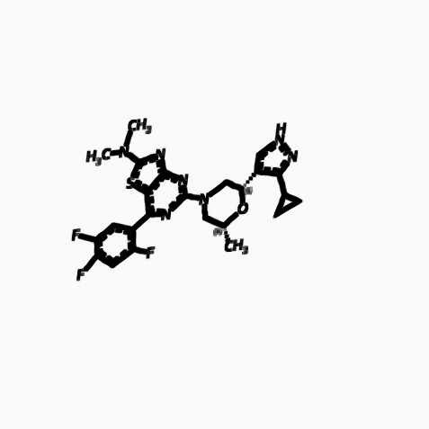 C[C@@H]1CN(c2nc(-c3cc(F)c(F)cc3F)c3sc(N(C)C)nc3n2)C[C@H](c2c[nH]nc2C2CC2)O1